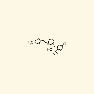 OC(CN1CCC[C@H](CCc2ccc(C(F)(F)F)cc2)C1)C1(c2ccc(Cl)cc2)CCC1